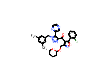 O=C(c1nnn(Cc2cc(C(F)(F)F)cc(C(F)(F)F)c2)c1-c1cnccn1)c1c(COC2CCCCO2)noc1-c1ccccc1Cl